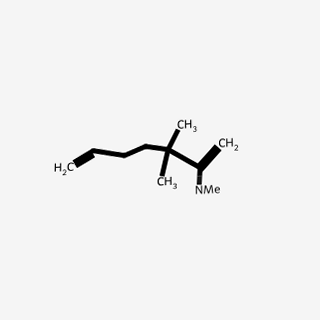 C=CCCC(C)(C)C(=C)NC